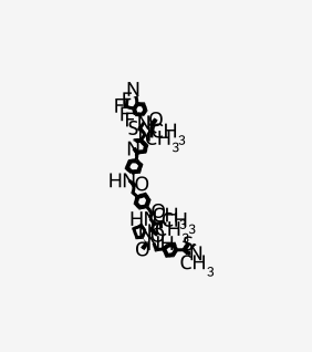 Cc1ncsc1-c1ccc(CNC(=O)[C@@H]2CCCN2C(=O)C(NC(=O)c2ccc(CC(=O)Nc3ccc(-c4ccc(N5C(=S)N(c6ccc(C#N)c(C(F)(F)F)c6F)C(=O)C5(C)C)cn4)cc3)cc2)C(C)(C)C)cc1